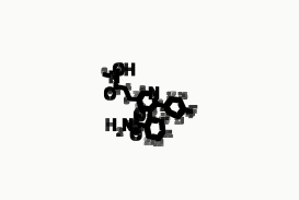 CN(O)C(=O)CCc1cnc(-c2ccc(F)cc2)c(-c2ccccc2S(N)(=O)=O)c1